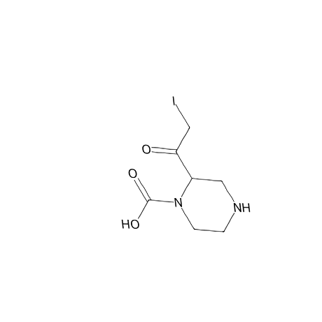 O=C(CI)C1CNCCN1C(=O)O